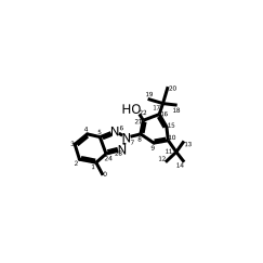 Cc1cccc2nn(-c3cc(C(C)(C)C)cc(C(C)(C)C)c3O)nc12